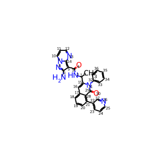 CC(NC(=O)c1c(N)nn2cccnc12)c1cc2cccc(-c3cccnc3)c2c(=O)n1-c1ccccc1